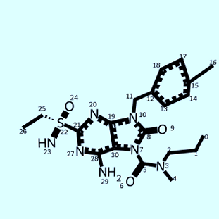 CCCN(C)C(=O)n1c(=O)n(Cc2ccc(C)cc2)c2nc([S@@](=N)(=O)CC)nc(N)c21